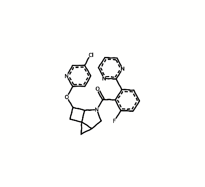 O=C(c1c(F)cccc1-c1ncccn1)N1CC2CC23CC(Oc2ccc(Cl)cn2)C13